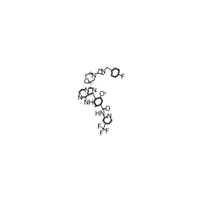 COc1cc(C(=O)Nc2cc(C(F)(F)F)ccn2)ccc1-c1nc([C@H]2CN(C3CN(Cc4ccc(F)cc4)C3)[C@@H](C)CO2)n2ccnc(N)c12